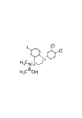 CB(O)N(C)[C@H]1CC[C@@H](c2ccc(Cl)c(Cl)c2)c2ccc(I)cc21